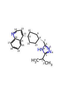 CC(C)c1nnc(C[C@H]2CC[C@@H](c3ccnc4ccccc43)CC2)[nH]1